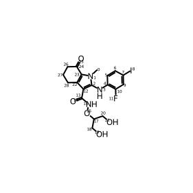 Cn1c(Nc2ccc(I)cc2F)c(C(=O)NOC(CO)CO)c2c1C(=O)CCC2